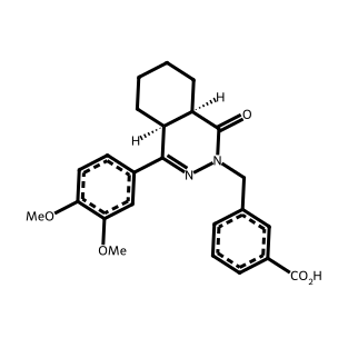 COc1ccc(C2=NN(Cc3cccc(C(=O)O)c3)C(=O)[C@@H]3CCCC[C@H]23)cc1OC